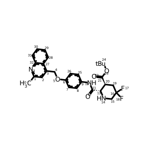 Cc1cc(COc2ccc(NC(=O)[C@H]3NCC(F)(F)C[C@@H]3C(=O)OC(C)(C)C)cc2)c2ccccc2n1